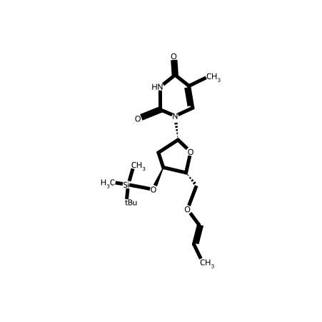 CC=COC[C@H]1O[C@@H](n2cc(C)c(=O)[nH]c2=O)C[C@@H]1O[Si](C)(C)C(C)(C)C